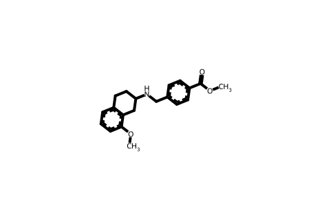 COC(=O)c1ccc(CNC2CCc3cccc(OC)c3C2)cc1